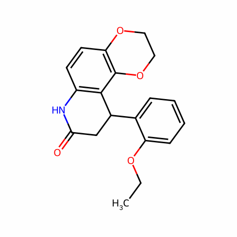 CCOc1ccccc1C1CC(=O)Nc2ccc3c(c21)OCCO3